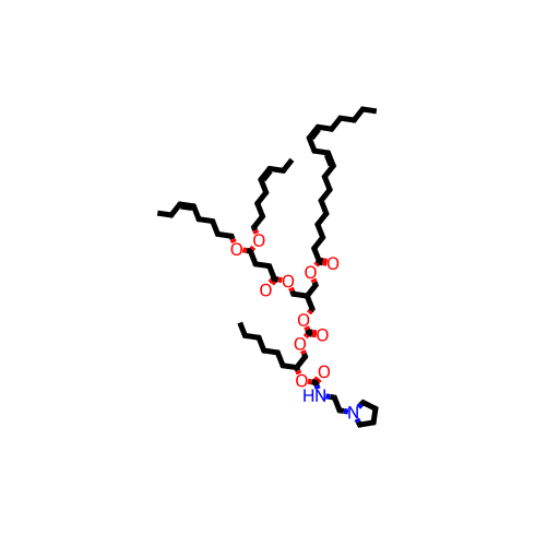 CC/C=C\CCCCOC(CCC(=O)OCC(COC(=O)CCCCCCC/C=C\C/C=C\CCCCC)COC(=O)OCC(CCCCCC)OC(=O)NCCN1CCCC1)OCCCC/C=C\CC